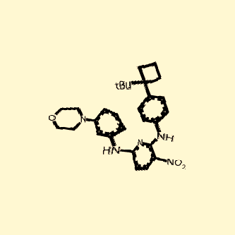 CC(C)(C)C1(c2ccc(Nc3nc(Nc4cccc(N5CCOCC5)c4)ccc3[N+](=O)[O-])cc2)CCC1